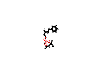 CC(CCOB1OC(C)CC(C)(C)O1)CCc1ccccc1